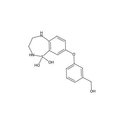 OCc1cccc(Oc2ccc3c(c2)S(O)(O)NCCN3)c1